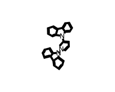 C1=CN(n2c3ccccc3c3ccccc32)CC(n2c3ccccc3c3ccccc32)=C1